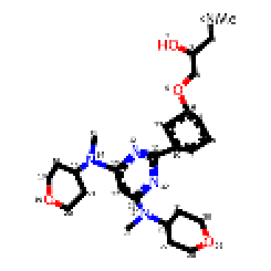 CNCC(O)COc1cccc(-c2nc(N(C)C3CCOCC3)cc(N(C)C3CCOCC3)n2)c1